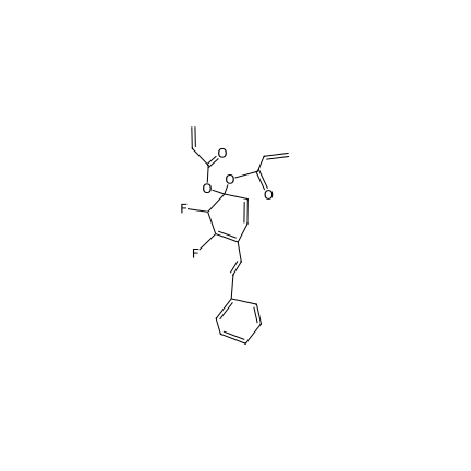 C=CC(=O)OC1(OC(=O)C=C)C=CC(C=Cc2ccccc2)=C(F)C1F